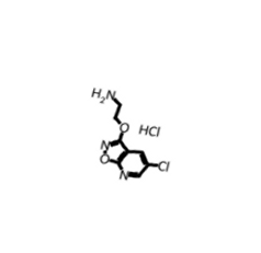 Cl.NCCOc1noc2ncc(Cl)cc12